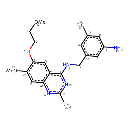 COCCOc1cc2c(NCc3cc(N)cc(C(F)(F)F)c3)nc(C(F)(F)F)nc2cc1OC